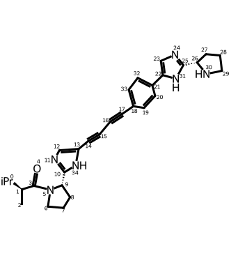 CC(C)[C@H](C)C(=O)N1CCC[C@H]1c1ncc(C#CC#Cc2ccc(-c3cnc([C@@H]4CCCN4)[nH]3)cc2)[nH]1